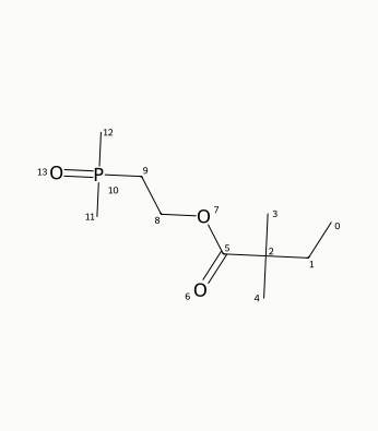 CCC(C)(C)C(=O)OCCP(C)(C)=O